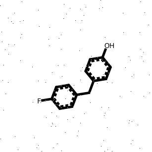 Oc1ccc(Cc2ccc(F)cc2)cc1